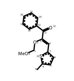 COCOC(=Cc1ccc(C)s1)C(=O)c1ccccc1